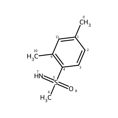 Cc1ccc(S(C)(=N)=O)c(C)c1